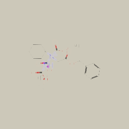 CC(C)(C)OC(=O)N[C@@H]1CCCC[C@@]1(C)[N+](CC(=O)OCc1ccccc1)(C(=O)OC(C)(C)C)C(=O)OC(C)(C)C